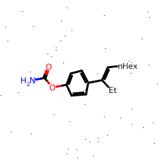 CCCCCCC=C(CC)c1ccc(OC(N)=O)cc1